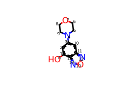 Oc1cc(N2CCOCC2)cc2nonc12